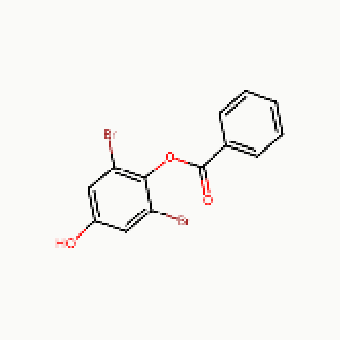 O=C(Oc1c(Br)cc(O)cc1Br)c1ccccc1